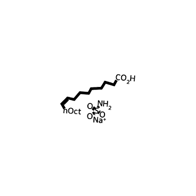 CCCCCCCC/C=C\CCCCCCCC(=O)O.NS(=O)(=O)[O-].[Na+]